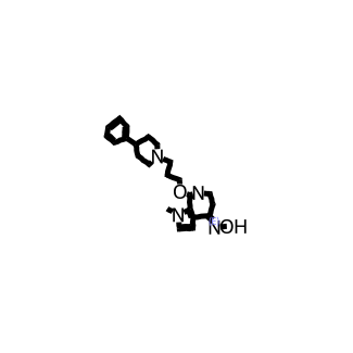 Cn1ccc2c1C(OCCCN1CCC(c3ccccc3)CC1)=NCC/C2=N\O